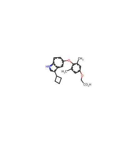 Cc1cc(OCC(=O)O)cc(C)c1Oc1ccc2[nH]cc(C3CCC3)c2c1